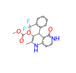 COC(=O)OC1=C(C)Nc2cc[nH]c(=O)c2C1c1ccccc1C(F)(F)F